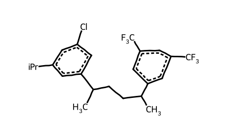 CC(C)c1cc(Cl)cc(C(C)CCC(C)c2cc(C(F)(F)F)cc(C(F)(F)F)c2)c1